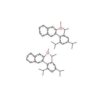 COc1[c]c2ccccc2cc1-c1c(C(C)C)cc(C(C)C)cc1C(C)C.COc1[c]c2ccccc2cc1-c1c(C(C)C)cc(C(C)C)cc1C(C)C